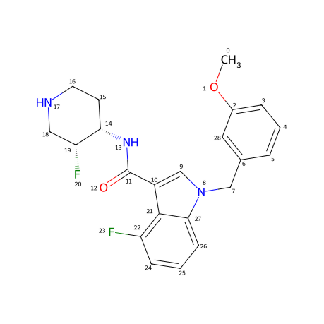 COc1cccc(Cn2cc(C(=O)N[C@H]3CCNC[C@H]3F)c3c(F)cccc32)c1